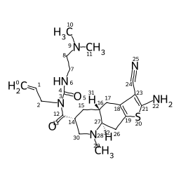 C=CCN(C(=O)NCCN(C)C)C(=O)[C@@H]1C[C@@H]2Cc3c(sc(N)c3C#N)C[C@H]2N(C)C1